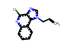 C=CCn1cnc2c(Cl)nc3ccccc3c21